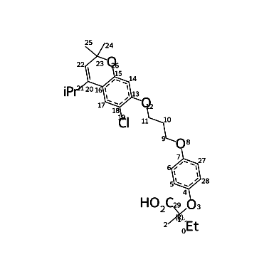 CC[C@@](C)(Oc1ccc(OCCCOc2cc3c(cc2Cl)C(C(C)C)=CC(C)(C)O3)cc1)C(=O)O